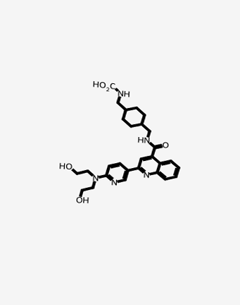 O=C(O)NCC1CCC(CNC(=O)c2cc(-c3ccc(N(CCO)CCO)nc3)nc3ccccc23)CC1